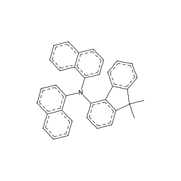 CC1(C)c2ccccc2-c2c(N(c3cccc4ccccc34)c3cccc4ccccc34)cccc21